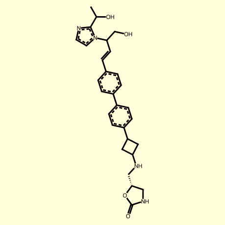 CC(O)c1nccn1C(/C=C/c1ccc(-c2ccc(C3CC(NC[C@@H]4CNC(=O)O4)C3)cc2)cc1)CO